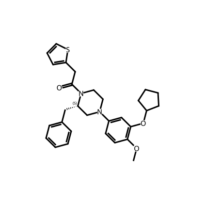 COc1ccc(N2CCN(C(=O)Cc3cccs3)[C@@H](Cc3ccccc3)C2)cc1OC1CCCC1